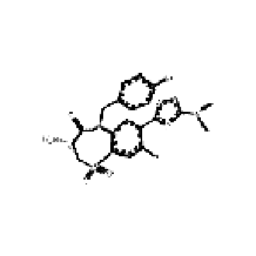 CN(C)c1nnc(-c2cc3c(cc2F)S(=O)(=O)C[C@H](N)C(=O)N3Cc2ccc(Cl)cc2)o1